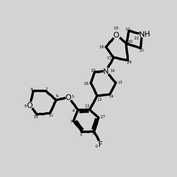 Fc1ccc(OC2CCOCC2)c(C2CCN(C3COC4(CNC4)C3)CC2)c1